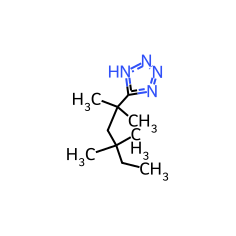 CCC(C)(C)CC(C)(C)c1nnn[nH]1